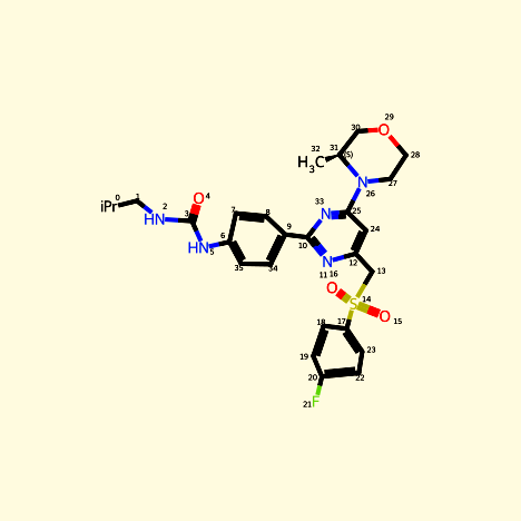 CC(C)CNC(=O)Nc1ccc(-c2nc(CS(=O)(=O)c3ccc(F)cc3)cc(N3CCOC[C@@H]3C)n2)cc1